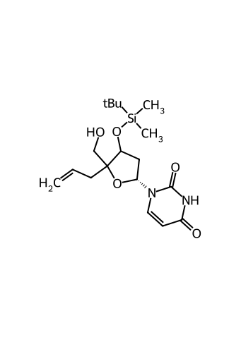 C=CCC1(CO)O[C@@H](n2ccc(=O)[nH]c2=O)CC1O[Si](C)(C)C(C)(C)C